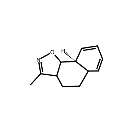 CC1=NOC2C1CCC1C=CC=C[C@@H]12